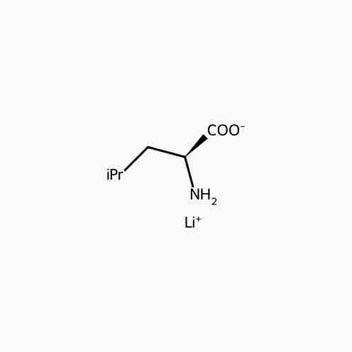 CC(C)C[C@H](N)C(=O)[O-].[Li+]